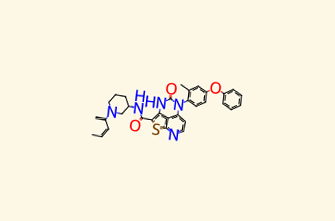 C=C(/C=C\C)N1CCC[C@@H](NC(=O)c2sc3nccc4c3c2NC(=O)N4c2ccc(Oc3ccccc3)cc2C)C1